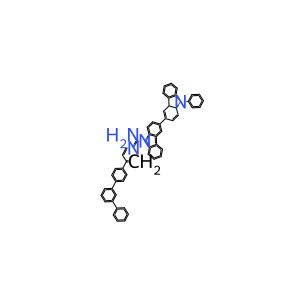 C=C(/C=C\N=C(/N)n1c2ccccc2c2cc(C3=CC4c5ccccc5N(c5ccccc5)C4C=C3)ccc21)c1ccc(-c2cccc(-c3ccccc3)c2)cc1